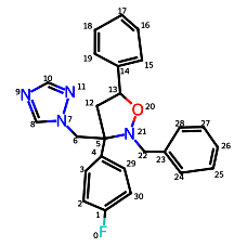 Fc1ccc(C2(Cn3cncn3)CC(c3ccccc3)ON2Cc2ccccc2)cc1